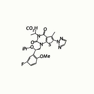 COc1ccc(F)cc1[C@H](Cn1c(=O)n(C(C)C(=O)O)c(=O)c2c(C)c(-n3nccn3)sc21)OC(C)C